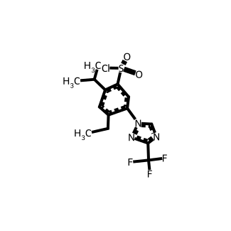 CCc1cc(C(C)C)c(S(=O)(=O)Cl)cc1-n1cnc(C(F)(F)F)n1